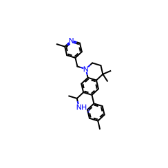 Cc1ccc(-c2cc3c(cc2C(C)N)N(Cc2ccnc(C)c2)CCC3(C)C)cc1